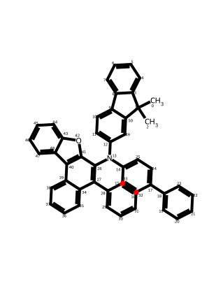 CC1(C)c2ccccc2-c2ccc(N(c3ccc(-c4ccccc4)cc3)c3c(-c4ccccc4)c4ccccc4c4c3oc3ccccc34)cc21